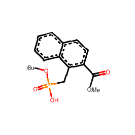 CCC(C)OP(=O)(O)Cc1c(C(=O)OC)ccc2ccccc12